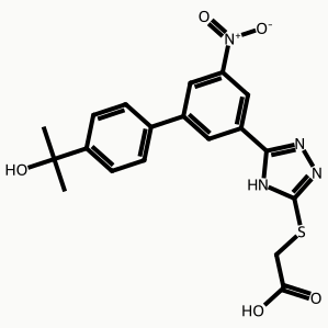 CC(C)(O)c1ccc(-c2cc(-c3nnc(SCC(=O)O)[nH]3)cc([N+](=O)[O-])c2)cc1